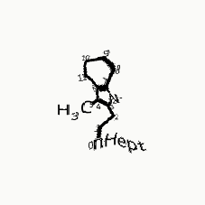 CCCCCCCCCC1=C(C)C2=C(CCCC2)[N]1